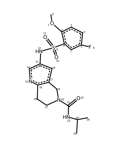 COc1ccc(F)cc1S(=O)(=O)Nc1cnc2c(c1)CN(C(=O)NC(C)C)CC2